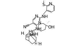 CSc1ncccc1CNc1ncc(C#N)c(NC[C@]23CC4C[C@H](C2)[C@@H](NC[C@H]2CC[C@](C)(O)CC2)[C@@H](C4)C3)n1